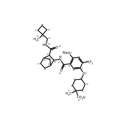 COc1cc(C(F)(F)F)c(OC2CCC(C)(C(=O)O)CC2)cc1C(=O)NC1C2CCC(C2)C1C(=O)NCC1(C)CCC1